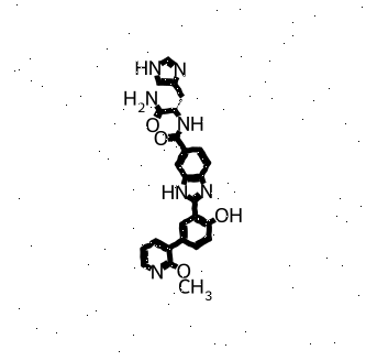 COc1ncccc1-c1ccc(O)c(-c2nc3ccc(C(=O)N[C@@H](Cc4c[nH]cn4)C(N)=O)cc3[nH]2)c1